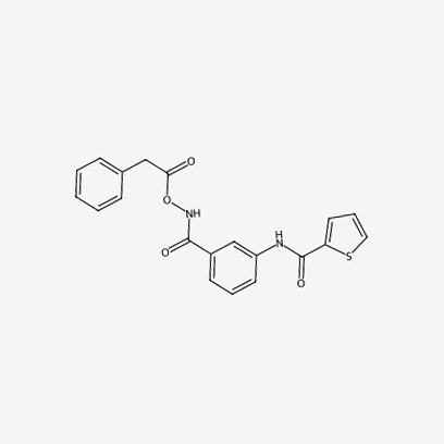 O=C(Cc1ccccc1)ONC(=O)c1cccc(NC(=O)c2cccs2)c1